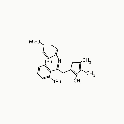 COc1ccc(/N=C(/CC2=C(C)C(C)=C(C)C2)c2c(C(C)(C)C)cccc2C(C)(C)C)cc1